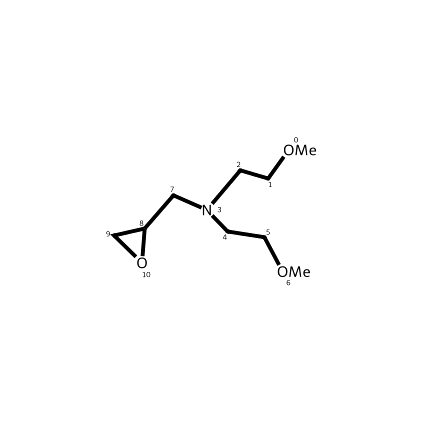 COCCN(CCOC)CC1CO1